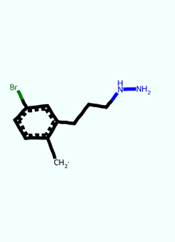 [CH2]c1ccc(Br)cc1CC[CH]NN